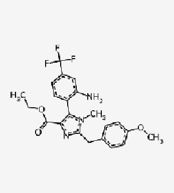 CCOC(=O)c1nc(Cc2ccc(OC)cc2)n(C)c1-c1ccc(C(F)(F)F)cc1N